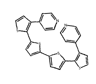 c1cc(-c2ccsc2-c2ccc(-c3ccc(-c4sccc4-c4ccncc4)s3)s2)ccn1